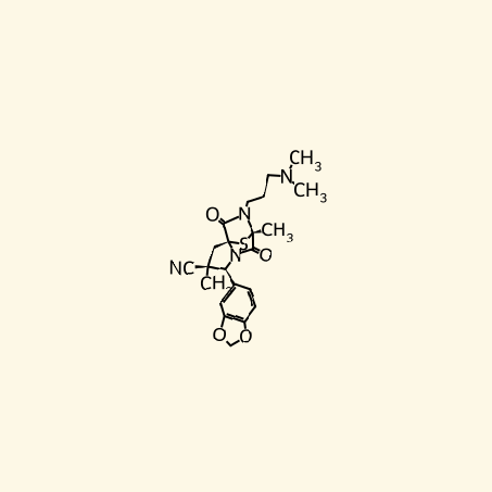 CN(C)CCCN1C(=O)[C@@]23C[C@](C)(C#N)[C@H](c4ccc5c(c4)OCO5)N2C(=O)[C@]1(C)S3